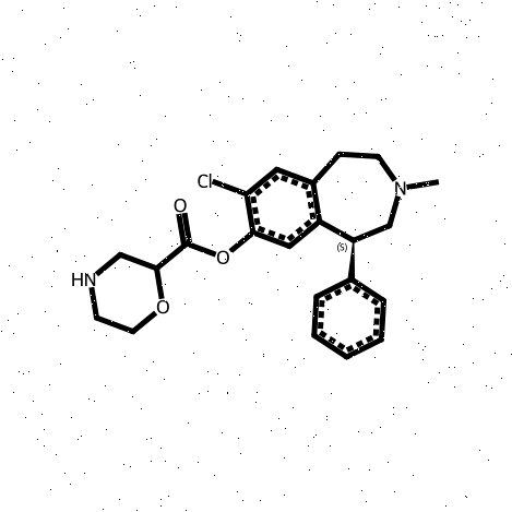 CN1CCc2cc(Cl)c(OC(=O)C3CNCCO3)cc2[C@H](c2ccccc2)C1